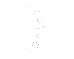 CCc1cc(NC(=O)c2ncc(-c3ccc(OC(F)F)cc3)n2C)ccc1C(=O)N(CC)OCCN